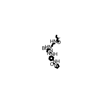 CC[C@H](C)C(=O)NCCCNc1nc(Nc2cccc(NC(=O)N3CCCC3)c2)ncc1Br